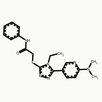 CCn1c(SCC(=O)Nc2ccccc2)nnc1-c1ccc(N(C)C)nc1